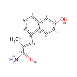 C/C(=C\c1cccc2cc(O)ccc12)C(N)=O